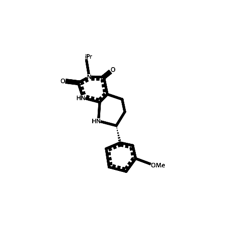 COc1cccc([C@H]2CCc3c([nH]c(=O)n(C(C)C)c3=O)N2)c1